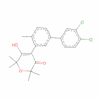 Cc1ccc(-c2ccc(Cl)c(Cl)c2)cc1C1=C(O)C(C)(C)OC(C)(C)C1=O